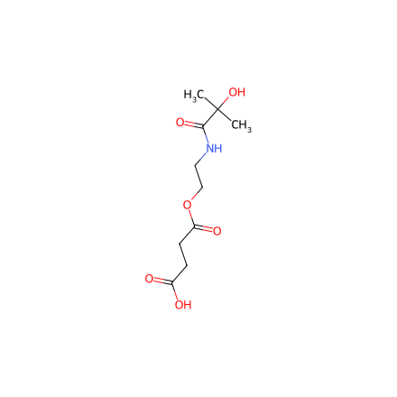 CC(C)(O)C(=O)NCCOC(=O)CCC(=O)O